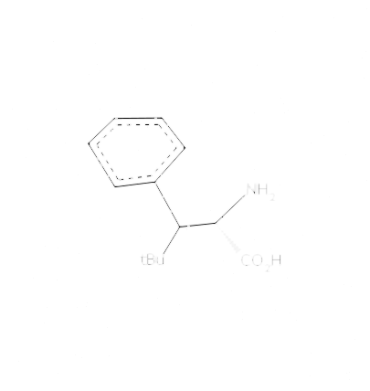 CC(C)(C)C(c1ccccc1)[C@H](N)C(=O)O